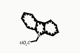 O=C(O)Cn1c2cc[c]cc2c2ccccc21